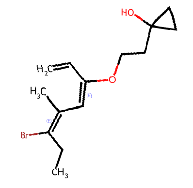 C=C/C(=C\C(C)=C(\Br)CC)OCCC1(O)CC1